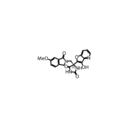 COc1ccc2c(c1)C(=O)N(C[C@@]1(c3oc4cccnc4c3O)NC(=O)NC1=O)C2